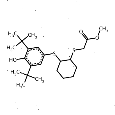 COC(=O)CSC1CCCCC1Sc1cc(C(C)(C)C)c(O)c(C(C)(C)C)c1